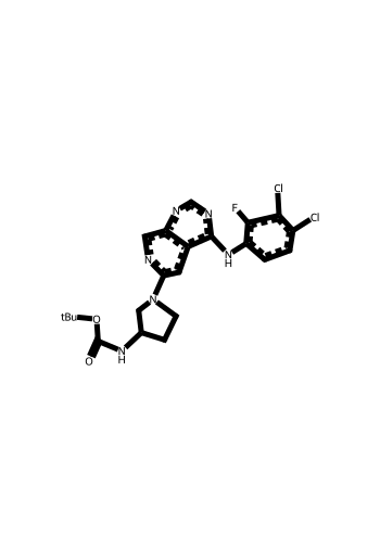 CC(C)(C)OC(=O)NC1CCN(c2cc3c(Nc4ccc(Cl)c(Cl)c4F)ncnc3cn2)C1